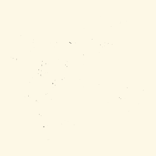 N#Cc1cnc2c(Cl)cc(N[C@@H](c3ccc(F)cc3)c3cn(CCCN4CCCC4)nn3)cc2c1Nc1cnc(F)c(F)c1